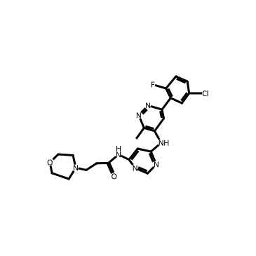 Cc1nnc(-c2cc(Cl)ccc2F)cc1Nc1cc(NC(=O)CCN2CCOCC2)ncn1